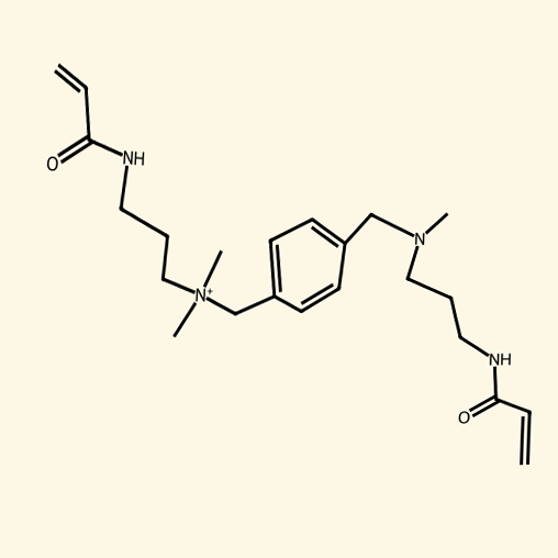 C=CC(=O)NCCCN(C)Cc1ccc(C[N+](C)(C)CCCNC(=O)C=C)cc1